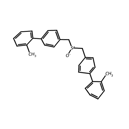 Cc1ccccc1-c1ccc(C[S+]([O-])Cc2ccc(-c3ccccc3C)cc2)cc1